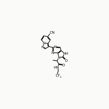 CC(C(=O)NCC(F)(F)F)n1c(=O)[nH]c2cnc(-c3cnn4ccc(C#N)cc34)nc21